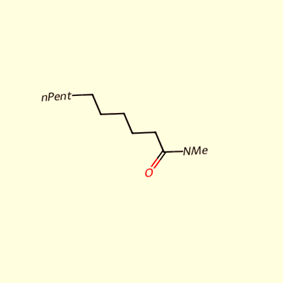 CCCCCCCCCCC(=O)NC